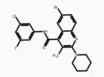 Cc1c(N2CCCCC2)nc2ccc(Br)cc2c1C(=O)Nc1[c]c(Cl)cc(F)c1